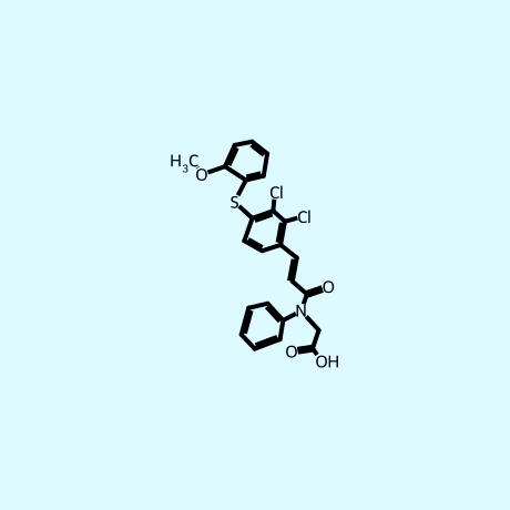 COc1ccccc1Sc1ccc(C=CC(=O)N(CC(=O)O)c2ccccc2)c(Cl)c1Cl